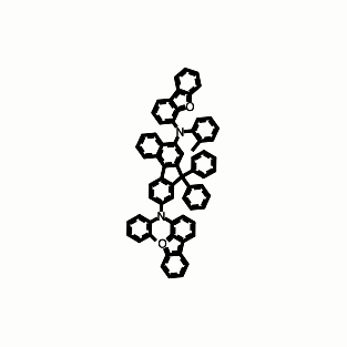 Cc1ccccc1N(c1ccc2c(c1)C(c1ccccc1)(c1ccccc1)c1cc(N(c3ccccc3C)c3cccc4c3oc3ccccc34)c3ccccc3c1-2)c1cccc2c1oc1ccccc12